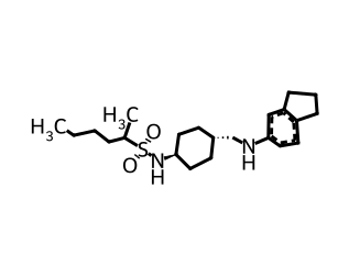 CCCCC(C)S(=O)(=O)N[C@H]1CC[C@H](CNc2ccc3c(c2)CCC3)CC1